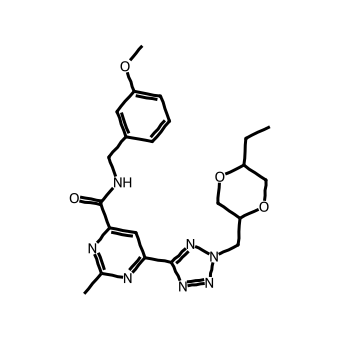 CCC1COC(Cn2nnc(-c3cc(C(=O)NCc4cccc(OC)c4)nc(C)n3)n2)CO1